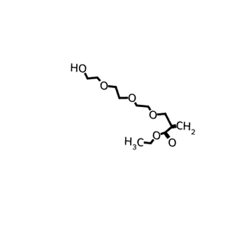 C=C(COCCOCCOCCO)C(=O)OCC